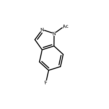 CC(=O)n1ncc2cc(F)ccc21